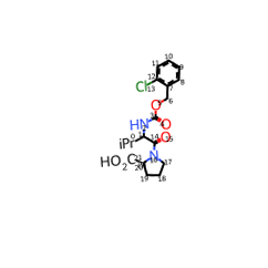 CC(C)C(NC(=O)OCc1ccccc1Cl)C(=O)N1CCC[C@H]1C(=O)O